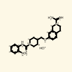 Cl.N=C(N)N1CCc2ccc(OCC3CCN(C(=S)Nc4ccccc4[N+](=O)[O-])CC3)cc2C1